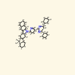 CC1(C)c2ccccc2-c2cc3c(cc21)c1cc2ccccc2cc1n3-c1ccc(-c2nc(-c3ccccc3)cc(-c3ccccc3)n2)cn1